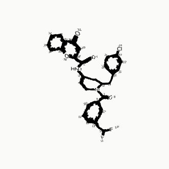 O=C(NC1CCN(C(=O)c2cccc(C(F)F)c2)C(Cc2ccc(Cl)cc2)C1)c1cc(=O)c2ccccc2o1